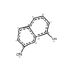 O=Nc1ccc2cccc(O)c2c1